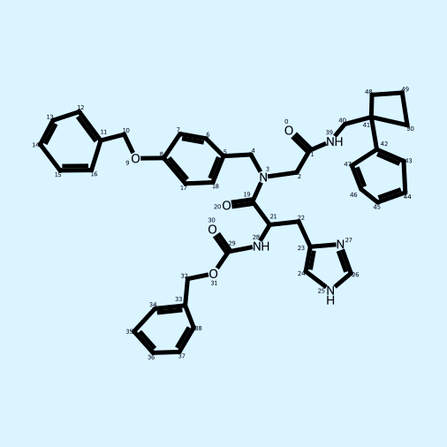 O=C(CN(Cc1ccc(OCc2ccccc2)cc1)C(=O)C(Cc1c[nH]cn1)NC(=O)OCc1ccccc1)NCC1(c2ccccc2)CCC1